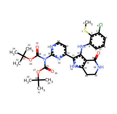 CSc1c(Cl)cccc1Nc1c(-c2ccnc(N(C(=O)OC(C)(C)C)C(=O)OC(C)(C)C)n2)[nH]c2c1C(=O)NCC2